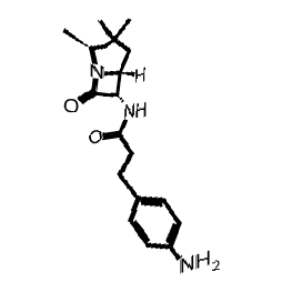 C[C@@H]1N2C(=O)[C@@H](NC(=O)CCc3ccc(N)cc3)[C@H]2CC1(C)C